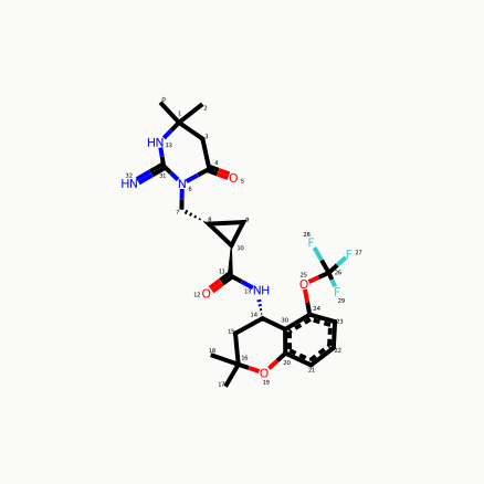 CC1(C)CC(=O)N(C[C@@H]2C[C@H]2C(=O)N[C@H]2CC(C)(C)Oc3cccc(OC(F)(F)F)c32)C(=N)N1